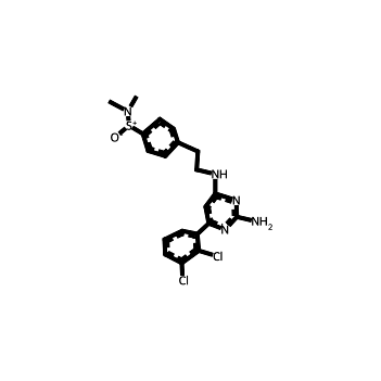 CN(C)[S+]([O-])c1ccc(CCNc2cc(-c3cccc(Cl)c3Cl)nc(N)n2)cc1